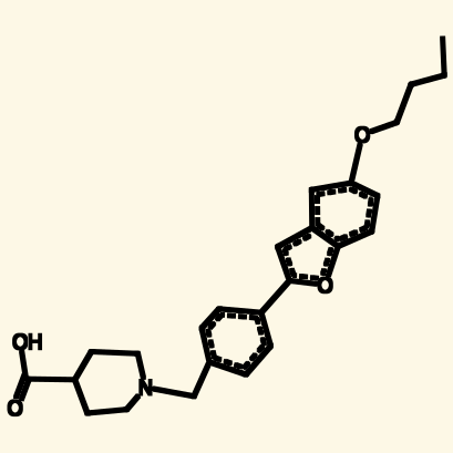 CCCCOc1ccc2oc(-c3ccc(CN4CCC(C(=O)O)CC4)cc3)cc2c1